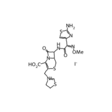 CO/N=C(\C(=O)NC1C(=O)N2C(C(=O)O)=C(C[N+]3=CSCC3)SCC12)c1csc(N)n1.[I-]